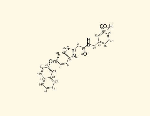 O=C(Cc1nc2ccc(Oc3ccc4ccccc4c3)cc2s1)NCc1cccc(C(=O)O)c1